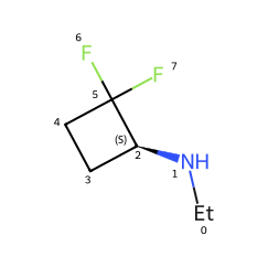 CCN[C@H]1CCC1(F)F